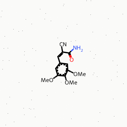 COc1cc(C=C(C#N)C(N)=O)cc(OC)c1OC